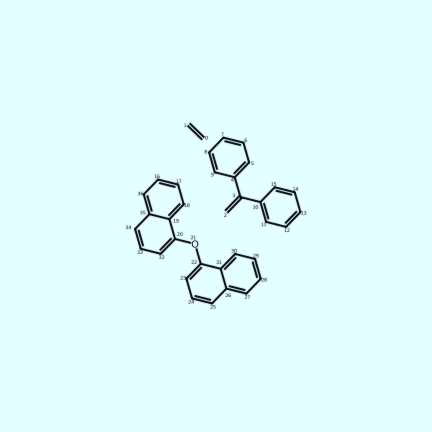 C=C.C=C(c1ccccc1)c1ccccc1.c1ccc2c(Oc3cccc4ccccc34)cccc2c1